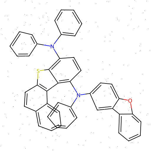 c1ccc(N(c2ccccc2)c2ccc(N(c3ccccc3)c3ccc4oc5ccccc5c4c3)c3c2sc2ccc4ccccc4c23)cc1